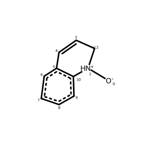 [O-][NH+]1[C]C=Cc2ccccc21